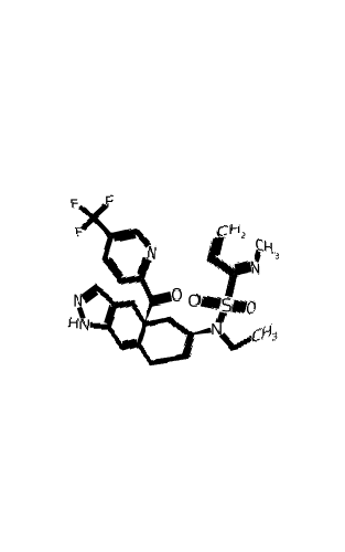 C=C/C(=N\C)S(=O)(=O)N(CC)[C@H]1CCC2=Cc3[nH]ncc3C[C@]2(C(=O)c2ccc(C(F)(F)F)cn2)C1